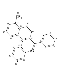 O=C(c1ccccc1)c1cnc2c(C(F)(F)F)cccc2c1-c1ccncc1